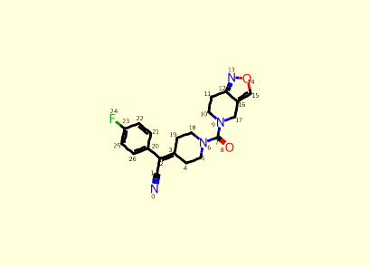 N#CC(=C1CCN(C(=O)N2CCc3nocc3C2)CC1)c1ccc(F)cc1